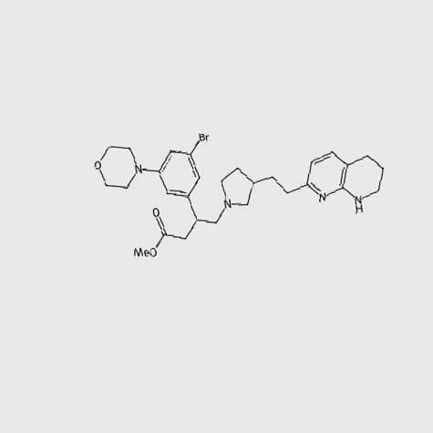 COC(=O)CC(CN1CCC(CCc2ccc3c(n2)NCCC3)C1)c1cc(Br)cc(N2CCOCC2)c1